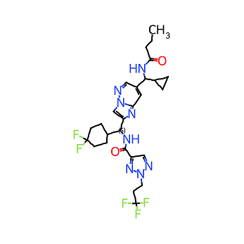 CCCC(=O)NC(c1cnn2cc([C@@H](NC(=O)c3cnn(CCC(F)(F)F)n3)C3CCC(F)(F)CC3)nc2c1)C1CC1